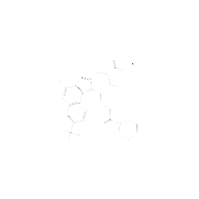 CCN(Cc1nc2c(N)nc3cc(C(F)(F)F)ccc3c2n1CCCC(=O)N1CCOCC1)C(=O)OC(C)(C)C